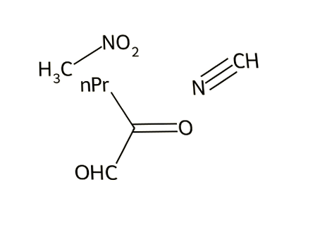 C#N.CCCC(=O)C=O.C[N+](=O)[O-]